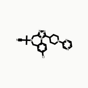 CC(C)(C#N)N1Cc2cc(Cl)ccc2-n2c(nnc2C2CCN(c3cnccn3)CC2)C1